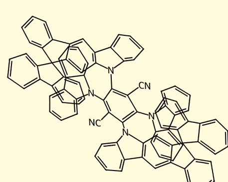 N#Cc1c(-n2c3ccccc3c3ccccc32)c(-n2c3ccccc3c3cc4c(cc32)C2(c3ccccc3-c3ccccc32)c2ccccc2-4)c(C#N)c(-n2c3ccccc3c3ccccc32)c1-n1c2ccccc2c2cc3c(cc21)C1(c2ccccc2-c2ccccc21)c1ccccc1-3